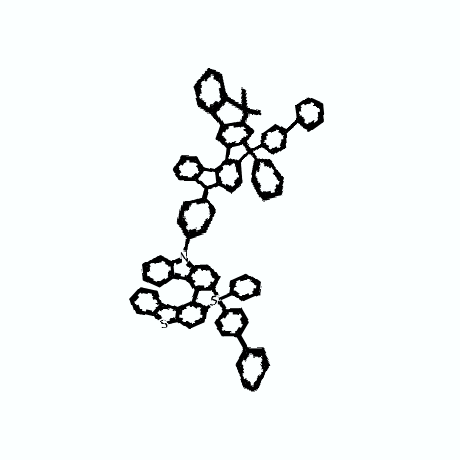 CC1(C)c2ccccc2-c2cc3c(cc21)C(c1ccccc1)(c1ccc(-c2ccccc2)cc1)c1ccc2c(c1-3)-c1ccccc1C2c1ccc(-n2c3ccccc3c3c4c(ccc32)[Si](c2ccccc2)(c2ccc(-c3ccccc3)cc2)c2ccc3sc5ccccc5c3c2-4)cc1